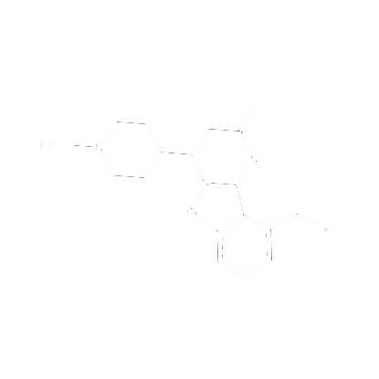 CC(C)Cc1cccc2c1C1NC(=O)C=C(C3CCN(C(=O)O)CC3)N1N2